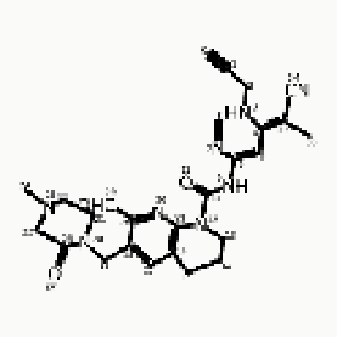 C#CCNC(/C=C(\N=C)NC(=O)N1CCCc2cc(CN3CCN(C)CC3=O)c(C=O)nc21)=C(/C)C#N